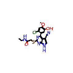 CCNC(=O)CSc1nc(-c2cc(O)c(OC)cc2Cl)c2c(C#N)c[nH]c2n1